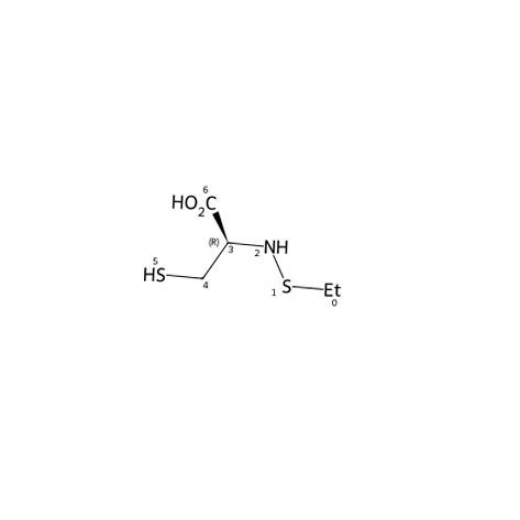 CCSN[C@@H](CS)C(=O)O